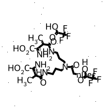 CCCCCCCCCCCC(=O)N(CCCNC(=O)C(C)[C@H](N)C(=O)O)CCCNC(=O)C(C)[C@H](N)C(=O)O.O=C(O)C(F)(F)F.O=C(O)C(F)(F)F